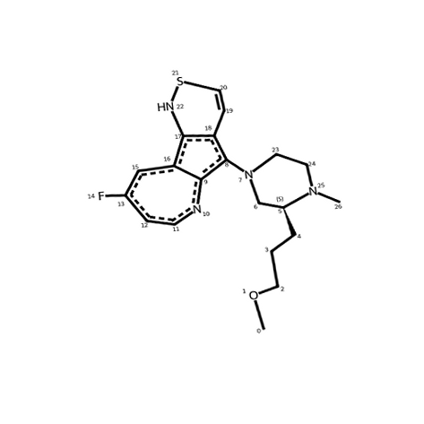 COCCC[C@H]1CN(c2c3nccc(F)cc-3c3c2C=CSN3)CCN1C